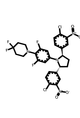 O=[N+]([O-])c1cc([C@H]2CC[C@H](c3ccc(Cl)c([N+](=O)[O-])c3)N2c2cc(F)c(N3CCC(F)(F)CC3)c(F)c2)ccc1Cl